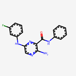 Nc1ncc(Nc2cccc(F)c2)nc1C(=O)Nc1ccccc1